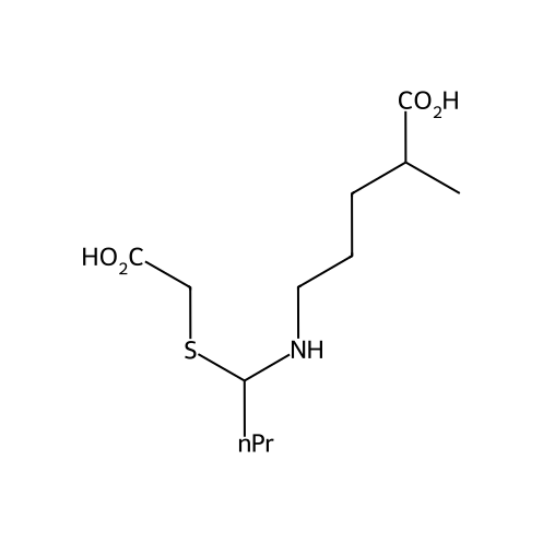 CCCC(NCCCC(C)C(=O)O)SCC(=O)O